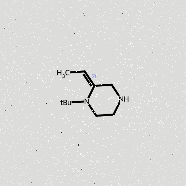 C/C=C1/CNCCN1C(C)(C)C